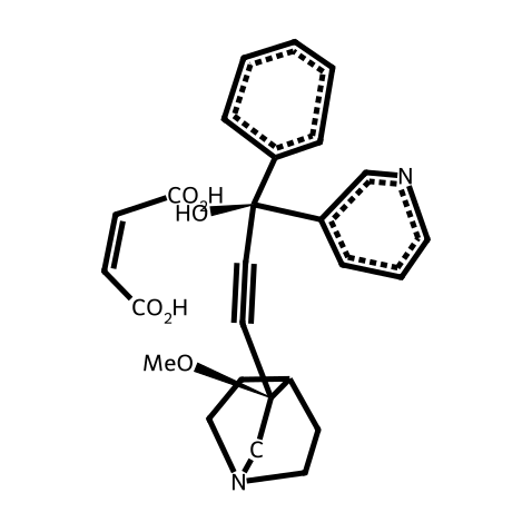 CO[C@]1(C#C[C@](O)(c2ccccc2)c2cccnc2)CN2CCC1CC2.O=C(O)/C=C\C(=O)O